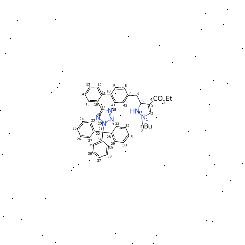 CCCCN1C=C(C(=O)OCC)C(Cc2ccc(-c3ccccc3-c3nnn(C(c4ccccc4)(c4ccccc4)c4ccccc4)n3)cc2)N1